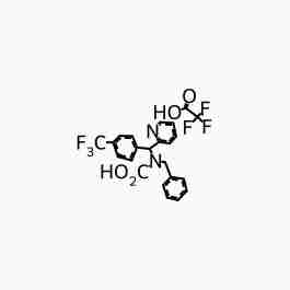 O=C(O)C(F)(F)F.O=C(O)N(Cc1ccccc1)C(c1ccc(C(F)(F)F)cc1)c1ccccn1